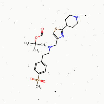 CC(C)(C)OC=O.CS(=O)(=O)c1ccc(CCNCc2csc(C3CCNCC3)n2)cc1